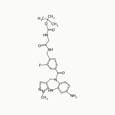 Cn1ncc2c1Nc1cc(N)ccc1N(C(=O)c1ccc(CNC(=O)CNC(=O)OC(C)(C)C)c(F)c1)C2